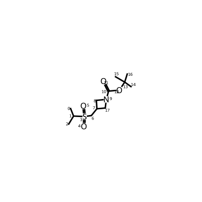 CC(C)S(=O)(=O)CC1CN(C(=O)OC(C)(C)C)C1